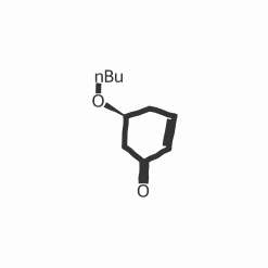 CCCCO[C@H]1CC=CC(=O)C1